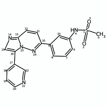 CS(=O)(=O)Nc1cccc(-c2ccc3ncc(-c4cccnc4)n3n2)c1